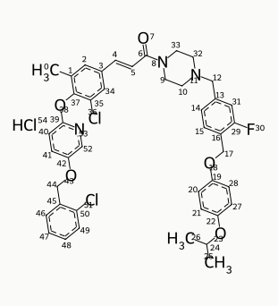 Cc1cc(C=CC(=O)N2CCN(Cc3ccc(COc4ccc(OC(C)C)cc4)c(F)c3)CC2)cc(Cl)c1Oc1ccc(OCc2ccccc2Cl)cn1.Cl